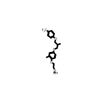 Cc1cc(SCC(C)COc2ccc(C(F)(F)F)cc2)ccc1OCCOO